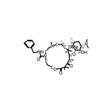 CO[C@]1(C)C[C@@H](C)CN(C)CCN(C(=O)NCc2ccccc2)CCCOC(=O)C(C)(C)C(=O)[C@H](C)[C@H]1O[C@@H]1O[C@H](C)C[C@H](N(C)C)[C@H]1O